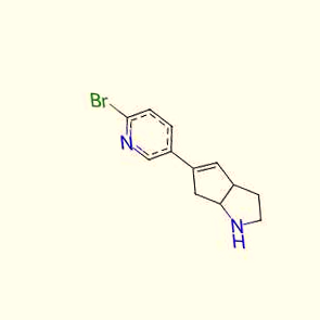 Brc1ccc(C2=CC3CCNC3C2)cn1